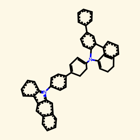 C1=CC(N(C2=CC=C(c3ccc(-n4c5ccccc5c5cc6ccccc6cc54)cc3)CC2)c2ccc(-c3ccccc3)cc2-c2ccccc2)=CCC1